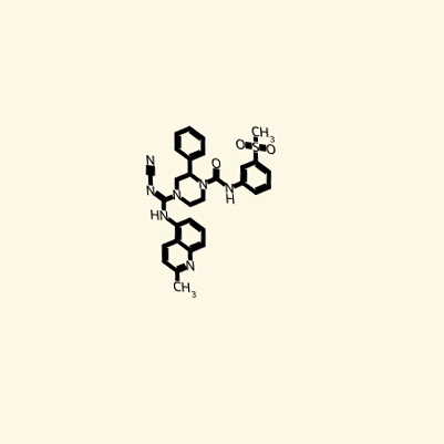 Cc1ccc2c(N/C(=N/C#N)N3CCN(C(=O)Nc4cccc(S(C)(=O)=O)c4)C(c4ccccc4)C3)cccc2n1